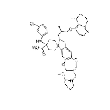 COC1CCCN1CC1COc2cc3c(cc2OC1)C1(CCC(Nc2cccc(Cl)c2)(C(=O)O)CC1)[C@@H](C[C@@H](C)COc1ccnc2c1[C@H](C)CCC2)C3